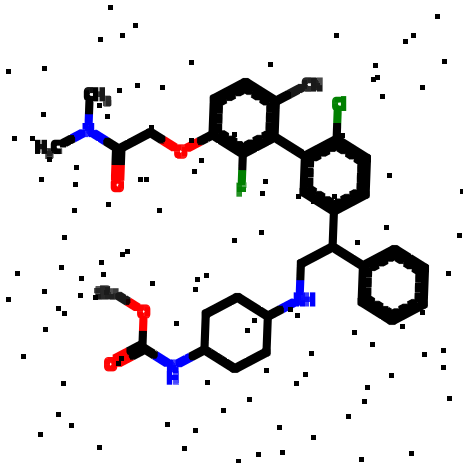 CN(C)C(=O)COc1ccc(C#N)c(-c2cc(C(CNC3CCC(NC(=O)OC(C)(C)C)CC3)c3ccccc3)ccc2Cl)c1F